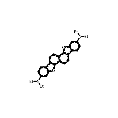 CCN(CC)c1ccc2c(c1)oc1c2ccc2c1ccc1c3ccc(N(CC)CC)cc3sc12